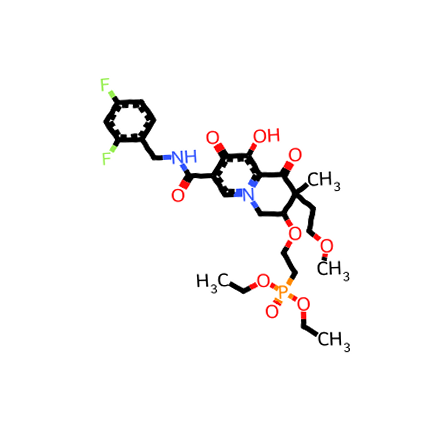 CCOP(=O)(CCOC1Cn2cc(C(=O)NCc3ccc(F)cc3F)c(=O)c(O)c2C(=O)C1(C)CCOC)OCC